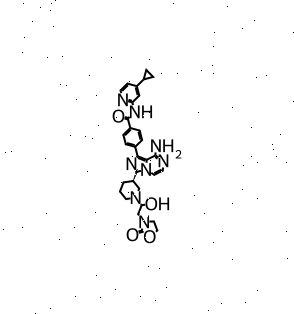 Nc1nccn2c([C@@H]3CCCN(C(O)CN4CCOC4=O)C3)nc(-c3ccc(C(=O)Nc4cc(C5CC5)ccn4)cc3)c12